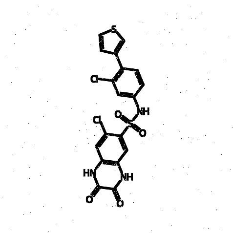 O=c1[nH]c2cc(Cl)c(S(=O)(=O)Nc3ccc(-c4ccsc4)c(Cl)c3)cc2[nH]c1=O